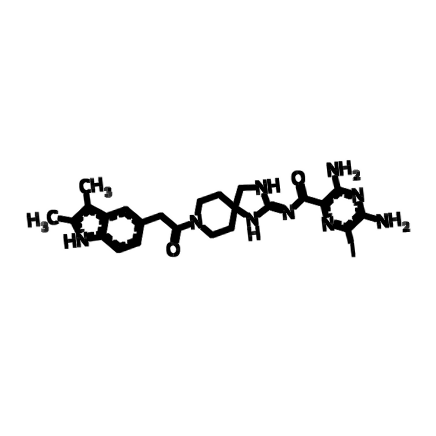 Cc1[nH]c2ccc(CC(=O)N3CCC4(CC3)CN/C(=N\C(=O)c3nc(I)c(N)nc3N)N4)cc2c1C